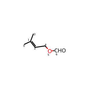 CC(C)=CCOC=O